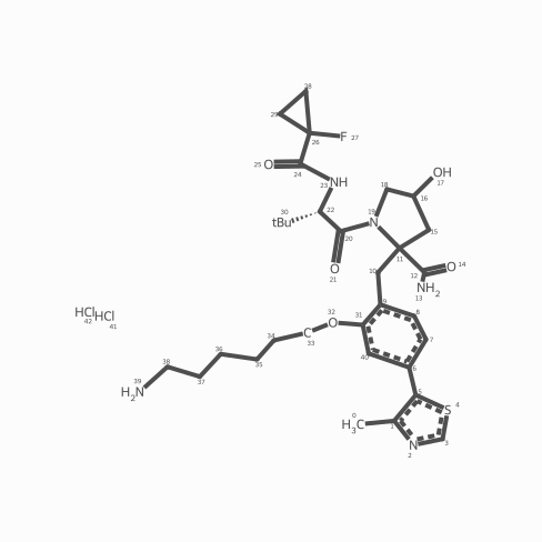 Cc1ncsc1-c1ccc(CC2(C(N)=O)CC(O)CN2C(=O)[C@@H](NC(=O)C2(F)CC2)C(C)(C)C)c(OCCCCCCN)c1.Cl.Cl